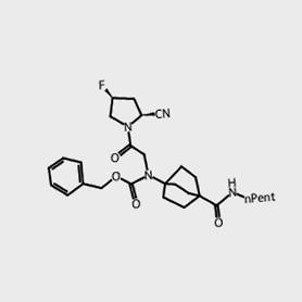 CCCCCNC(=O)C12CCC(N(CC(=O)N3C[C@@H](F)C[C@H]3C#N)C(=O)OCc3ccccc3)(CC1)CC2